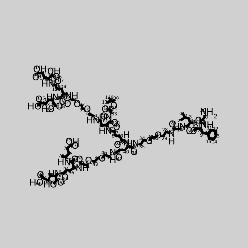 CC(C)CC(NC(=O)C(Cc1ccccc1)NC(=O)CN)C(=O)NCC(=O)NCCOCCOCCNC(=O)C(CCC(=O)NCCOCCOCC(=O)NC(CCC(=O)NC(CCC(=O)O)C(=O)O)C(=O)NC(C)CCC(=O)O)NC(=O)CCC(=O)NC(CC(=O)NCCOCCOCC(=O)NC(CCC(=O)NC(CCC(=O)O)C(=O)O)C(=O)NC(CCC(=O)O)C(=O)O)C(=O)NCC(=O)OC(C)(C)C